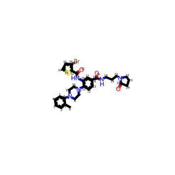 Cc1ccccc1N1CCN(c2ccc(C(=O)NCCCN3CCCC3=O)cc2NC(=O)c2sccc2Br)CC1